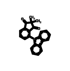 CC1(C)C(=O)c2cccc(-n3c4ccccc4c4ccccc43)c2C1=O